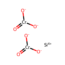 [O]=[Cr]([O-])[O-].[O]=[Cr]([O-])[O-].[Si+4]